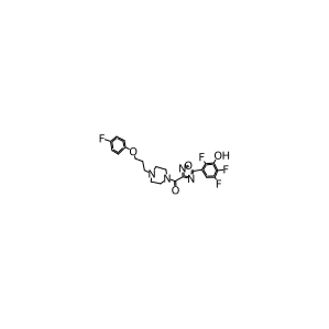 O=C(c1noc(-c2cc(F)c(F)c(O)c2F)n1)N1CCN(CCCOc2ccc(F)cc2)CC1